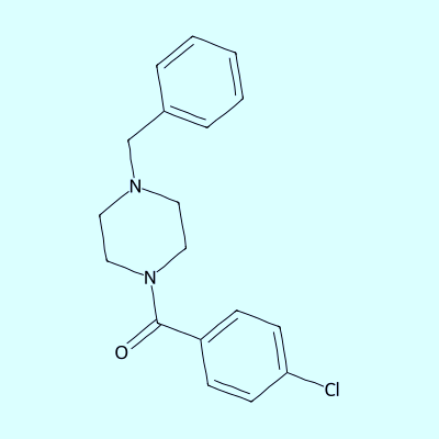 O=C(c1ccc(Cl)cc1)N1CCN(Cc2ccccc2)CC1